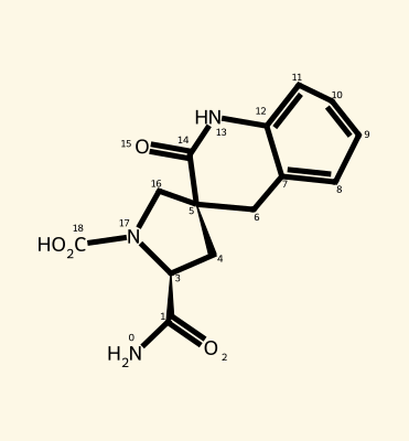 NC(=O)[C@@H]1C[C@@]2(Cc3ccccc3NC2=O)CN1C(=O)O